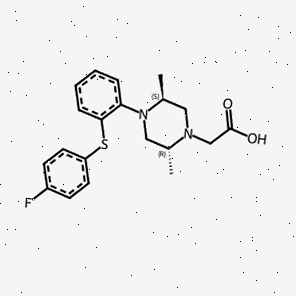 C[C@@H]1CN(c2ccccc2Sc2ccc(F)cc2)[C@@H](C)CN1CC(=O)O